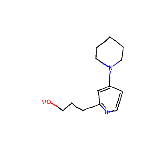 OCCCc1cc(N2CCCCC2)ccn1